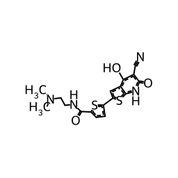 CN(C)CCNC(=O)c1ccc(-c2cc3c(O)c(C#N)c(=O)[nH]c3s2)s1